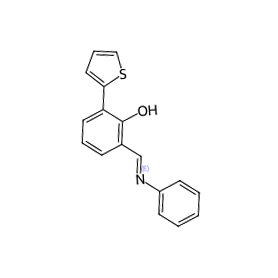 Oc1c(/C=N/c2ccccc2)cccc1-c1cccs1